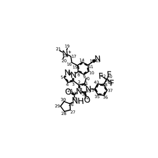 Cc1c(-c2ccnn2-c2ccc(C#N)cc2CC[N+](C)(C)C)n(C(=O)NC2CCCC2)c(=O)n1-c1cccc(C(F)(F)F)c1